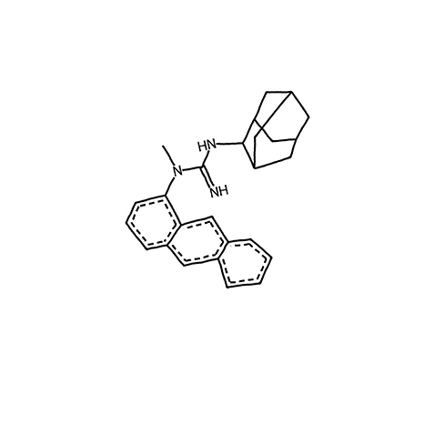 CN(C(=N)NC1C2CC3CC(C2)CC1C3)c1cccc2cc3ccccc3cc12